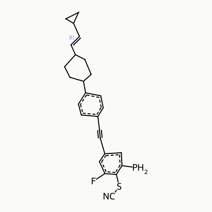 N#CSc1c(F)cc(C#Cc2ccc(C3CCC(/C=C/C4CC4)CC3)cc2)cc1P